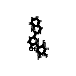 Cc1ccc(-c2ncc3ccccc3n2)nc1-c1cc(F)c(F)cc1F